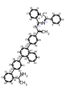 C=C(/N=C(\N=C(/C)c1ccccc1)c1ccccc1)c1ccc(-c2ccc(-c3ccc(-c4ccccc4C(C)N)cc3)c3ccccc23)cc1